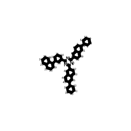 c1ccc(-c2ccc3cc(-c4nc(-c5cccc(-c6cccc7ccccc67)c5)nc(-c5ccc6cc(-c7ccccc7)ccc6c5)n4)ccc3c2)cc1